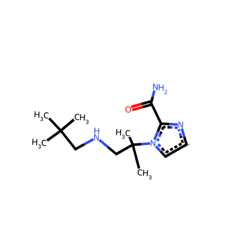 CC(C)(C)CNCC(C)(C)n1c[c]nc1C(N)=O